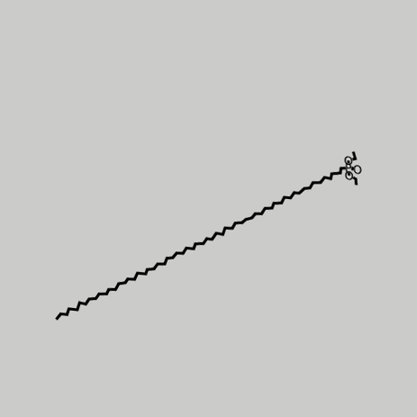 CCCCCCCCCCCCCCCCCCCCCCCCCCCCCCCCCCCCCCCCCCCCCCCCCCCCCCCCCCCCP(=O)(OCC)OCC